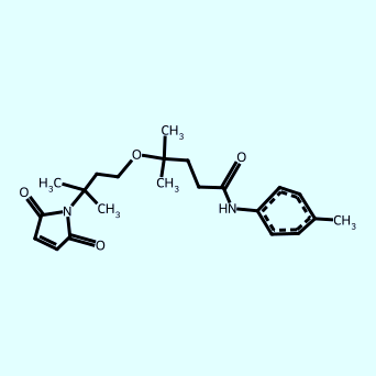 Cc1ccc(NC(=O)CCC(C)(C)OCCC(C)(C)N2C(=O)C=CC2=O)cc1